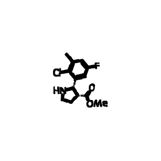 COC(=O)[C@@H]1CCN[C@@H]1c1cc(F)cc(C)c1Cl